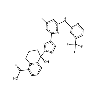 Cc1cc(Nc2cc(C(F)(F)F)ccn2)nc(-c2cnc([C@@]3(O)CCCc4c(C(=O)O)cccc43)s2)c1